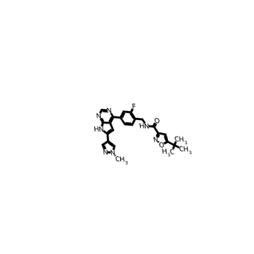 Cn1cc(-c2cc3c(-c4ccc(CNC(=O)c5cc(C(C)(C)C)on5)c(F)c4)ncnc3[nH]2)cn1